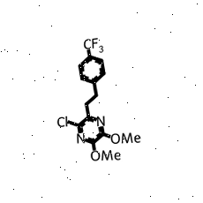 COc1nc(Cl)c(CCc2ccc(C(F)(F)F)cc2)nc1OC